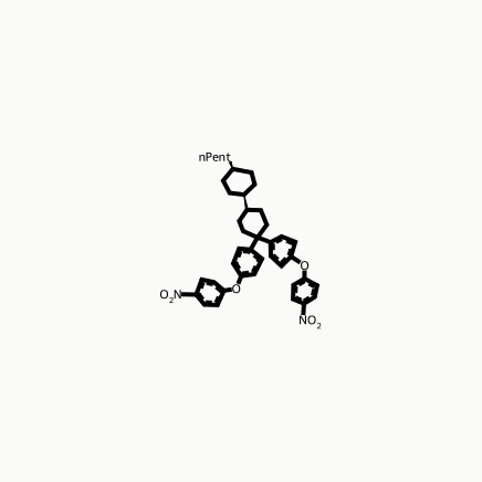 CCCCC[C@H]1CC[C@@H](C2CCC(c3ccc(Oc4ccc([N+](=O)[O-])cc4)cc3)(c3ccc(Oc4ccc([N+](=O)[O-])cc4)cc3)CC2)CC1